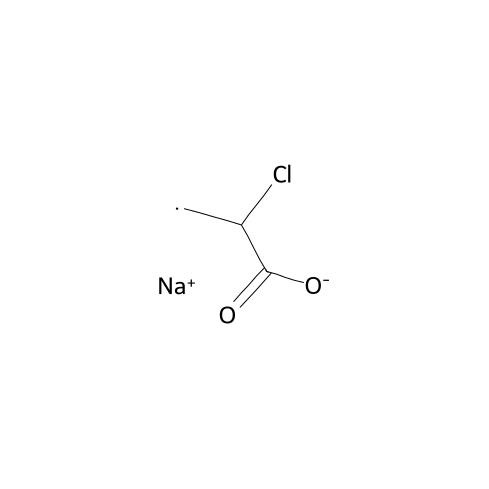 [CH2]C(Cl)C(=O)[O-].[Na+]